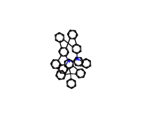 c1ccc(-c2cc3c(cc2N(c2ccccc2)c2ccccc2)C2(c4ccccc4-c4ccc(N(c5ccccc5)c5cccc6c5-c5ccccc5C6(c5ccccc5)c5ccccc5)cc42)c2ccccc2-3)cc1